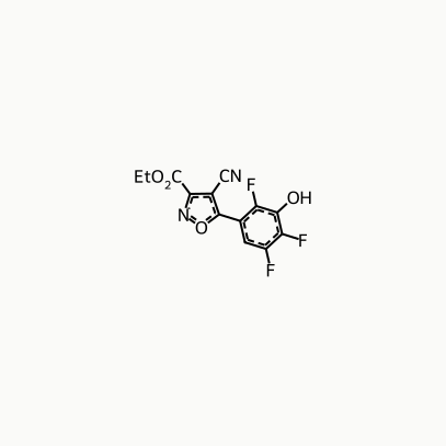 CCOC(=O)c1noc(-c2cc(F)c(F)c(O)c2F)c1C#N